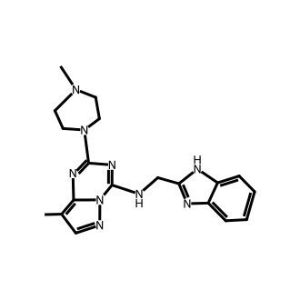 Cc1cnn2c(NCc3nc4ccccc4[nH]3)nc(N3CCN(C)CC3)nc12